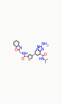 CC(C)NC(=O)c1cc(-c2csc(C(=O)NCc3nc4ccccc4o3)c2)cn2nc(N)nc12